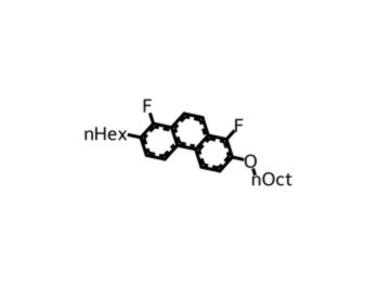 CCCCCCCCOc1ccc2c(ccc3c(F)c(CCCCCC)ccc32)c1F